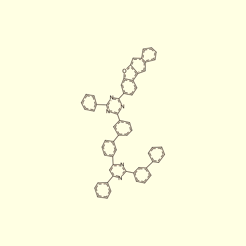 c1ccc(-c2cccc(-c3nc(-c4ccccc4)cc(-c4cccc(-c5cccc(-c6nc(-c7ccccc7)nc(-c7ccc8c(c7)oc7cc9ccccc9cc78)n6)c5)c4)n3)c2)cc1